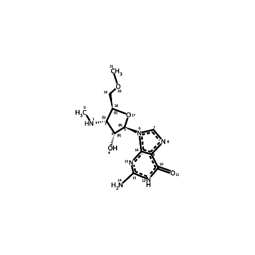 CN[C@H]1[C@@H](O)[C@H](n2cnc3c(=O)[nH]c(N)nc32)O[C@@H]1COC